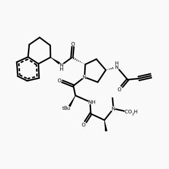 C#CC(=O)N[C@H]1C[C@@H](C(=O)N[C@@H]2CCCc3ccccc32)N(C(=O)[C@@H](NC(=O)[C@H](C)N(C)C(=O)O)C(C)(C)C)C1